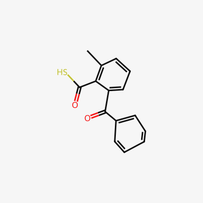 Cc1cccc(C(=O)c2ccccc2)c1C(=O)S